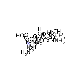 CNC1C(C)=C(N)N=C(SCC2=C(C(=O)O)N3C(=O)C(NC(=O)/C(=N\OCC(=O)O)c4csc(N)n4)[C@@H]3SC2)N1N